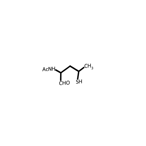 CC(=O)NC(C=O)CC(C)S